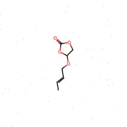 CC=CCOC1COC(=O)O1